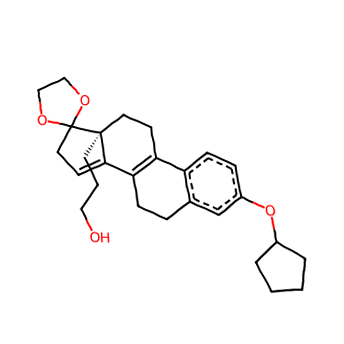 OCCC[C@]12CCC3=C(CCc4cc(OC5CCCC5)ccc43)C1=CCC21OCCO1